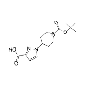 CC(C)(C)OC(=O)N1CCC(n2ccc(C(=O)O)n2)CC1